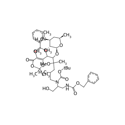 COC(C)(CC(C)CN(C(=O)OC(C)(C)C)C(CO)CNC(=O)OCc1ccccc1)C(O[C@@H]1O[C@H](C)C[C@H](N(C)C)[C@H]1OC(=O)c1ccccc1)C(C)C1=C(C)C(=O)OC(C)(C)O1